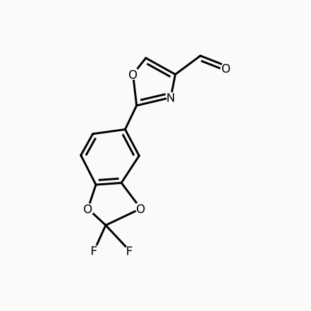 O=Cc1coc(-c2ccc3c(c2)OC(F)(F)O3)n1